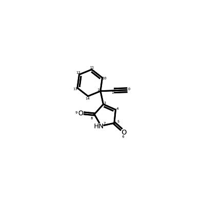 C#CC1(C2=CC(=O)NC2=O)C=CC=CC1